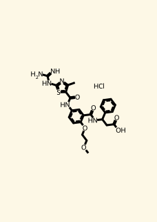 COCCOc1ccc(NC(=O)c2sc(NC(=N)N)nc2C)cc1C(=O)NC(CC(=O)O)c1ccccc1.Cl